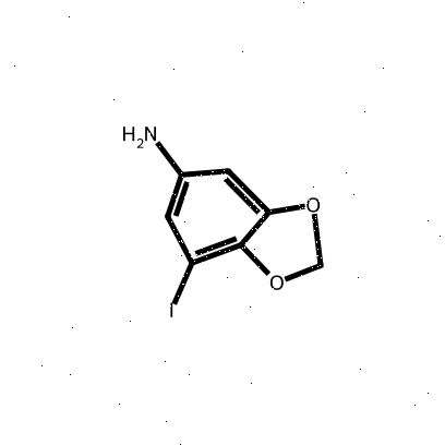 Nc1cc(I)c2c(c1)OCO2